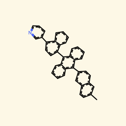 Cc1ccc2cc(-c3c4ccccc4c(-c4ccc(-c5cccnc5)c5ccccc45)c4ccccc34)ccc2c1